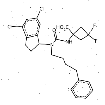 O=C(NC1(C(=O)O)CC(F)(F)C1)N(CCCCc1ccccc1)C1CCc2c(Cl)cc(Cl)cc21